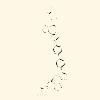 CCCCOC(=O)N[C@@H](C)C(=O)N1CCCC1c1ncc(-c2ccc(-c3ccc(C4=CN(C)C([C@@H]5CCCN5C(=O)[C@H](C)NC(=O)OCCCC)N4)cc3)cc2)[nH]1